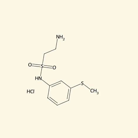 CSc1cccc(NS(=O)(=O)CCN)c1.Cl